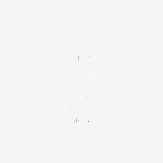 CCCCCCOC(=O)/C=[C](\C(=O)OCCCCCC)[SnH]([CH2]CCC)[CH2]CCC